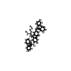 CCCCC(CC)Cn1c2cc(Cn3c4ccccc4c4ccccc43)ccc2c2ccc(Cn3c4ccccc4c4ccccc43)cc21